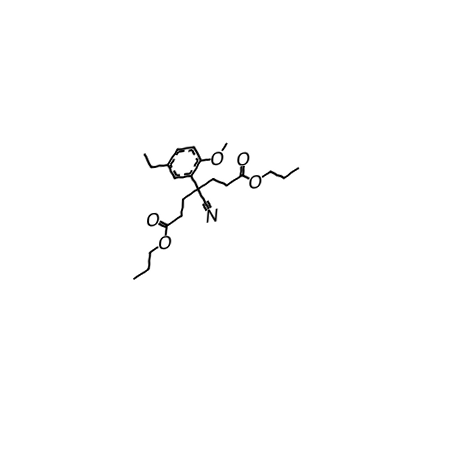 CCCOC(=O)CCC(C#N)(CCC(=O)OCCC)c1cc(CC)ccc1OC